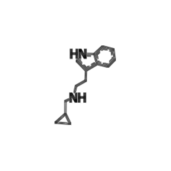 c1ccc2c(CCNCC3CC3)c[nH]c2c1